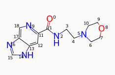 O=C(NCCN1CCOCC1)c1cc2[nH]cnc2cn1